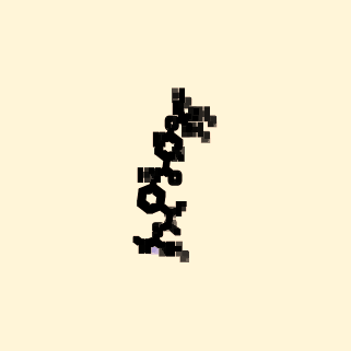 BC(B)(B)Oc1cnc(C(=O)Nc2cccc([C@@H](F)[C@@H](C)S/C(N)=N\C)c2)cn1